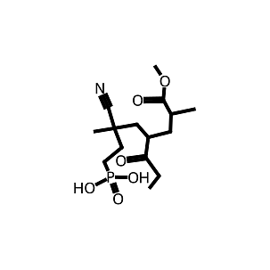 CCC(=O)C(CC(C)C(=O)OC)CC(C)(C#N)CCP(=O)(O)O